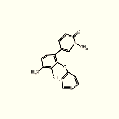 Cn1cc(-c2ccc(N)c(N)c2Oc2ccccc2)ccc1=O